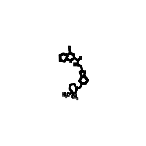 CC1(C)CCCN(Cc2ccc3nc(CNC(=O)c4cc(=O)n5ccccc5n4)cn3c2)C1